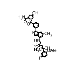 COc1ccc(F)cc1C(C)(C)CC(O)(CNc1cc(C)cc2c1cnn2-c1cccc(C(=O)N2C[C@H](O)C[C@@H]2C(N)=O)c1)C(F)(F)F